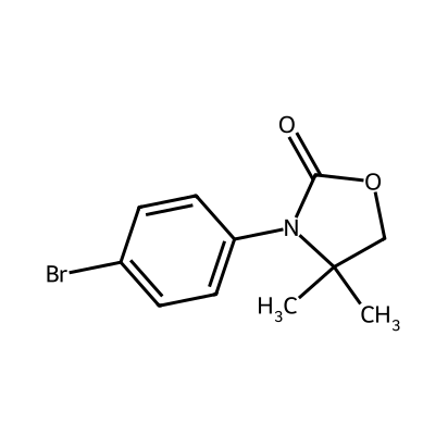 CC1(C)COC(=O)N1c1ccc(Br)cc1